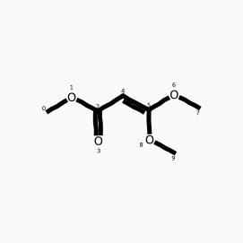 COC(=O)C=C(OC)OC